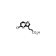 O=C(O)CCc1cnn2ccc(Cl)nc12